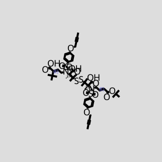 CC#CCOc1ccc(S(=O)(=O)N(C/C=C/C(=O)OC(C)(C)C)[C@@](C)(C(=O)O)C(C)(C)SSC(C)(C)[C@](C)(C(=O)O)N(C/C=C(/C(=O)O)C(C)(C)C)S(=O)(=O)c2ccc(OCC#CC)cc2)cc1